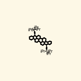 CC(C)[Si](C#Cc1c2ccccc2c2ccc3c4ccc5c(C#C[Si](C(C)C)(C(C)C)C(C)C)c6ccccc6c6ccc(c7ccc1c2c73)c4c56)(C(C)C)C(C)C